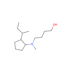 CCC(C)C1CCCC1N(C)CCCCO